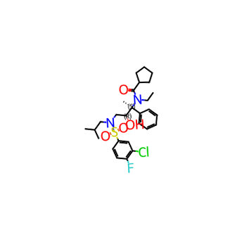 CCN(C(=O)C1CCCC1)[C@@](C)(c1ccccc1)[C@H](O)CN(CC(C)C)S(=O)(=O)c1ccc(F)c(Cl)c1